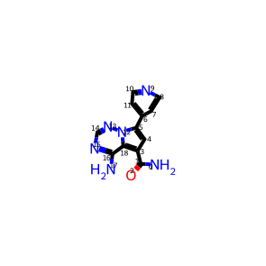 NC(=O)c1cc(-c2ccncc2)n2ncnc(N)c12